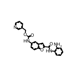 Nc1ccccc1NC(=O)c1cc2cc(NC(=O)OCc3cccnc3)ccc2o1